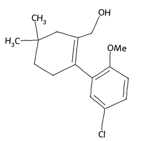 COc1ccc(Cl)cc1C1=C(CO)CC(C)(C)CC1